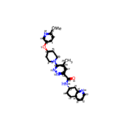 COc1ccc(OC2CCN(c3nnc(C(=O)N[C@H]4CCc5cccnc5C4)cc3C)CC2)cn1